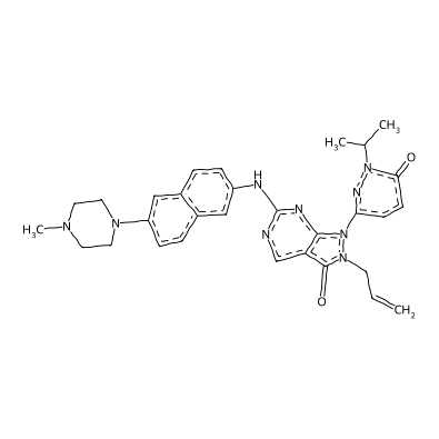 C=CCn1c(=O)c2cnc(Nc3ccc4cc(N5CCN(C)CC5)ccc4c3)nc2n1-c1ccc(=O)n(C(C)C)n1